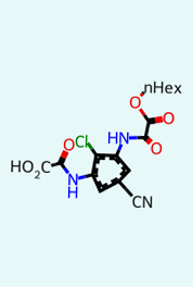 CCCCCCOC(=O)C(=O)Nc1cc(C#N)cc(NC(=O)C(=O)O)c1Cl